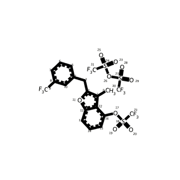 Cc1c(Cc2cccc(C(F)(F)F)c2)oc2cccc(OS(=O)(=O)C(F)(F)F)c12.O=S(=O)(OS(=O)(=O)C(F)(F)F)C(F)(F)F